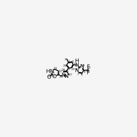 Cc1cc(Nc2nccc(C(F)F)n2)cc(-c2cnn(CC3CCNC(=O)O3)c2)c1